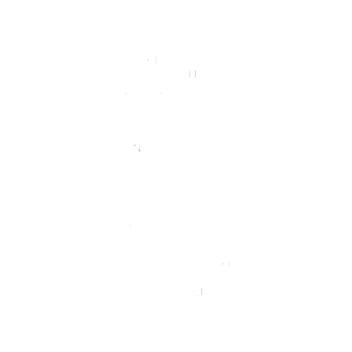 CC(=O)c1ccc(CN2CCS(C)(C)CC2)cc1